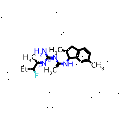 C=C(/N=C(N)\N=C(/C)C(F)CC)NC1c2cc(C)ccc2CC1C